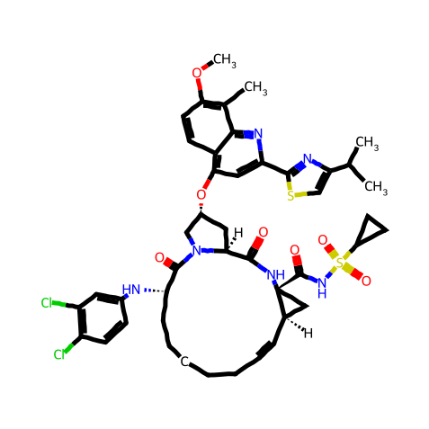 COc1ccc2c(O[C@@H]3C[C@H]4C(=O)N[C@]5(C(=O)NS(=O)(=O)C6CC6)C[C@H]5/C=C\CCCCC[C@H](Nc5ccc(Cl)c(Cl)c5)C(=O)N4C3)cc(-c3nc(C(C)C)cs3)nc2c1C